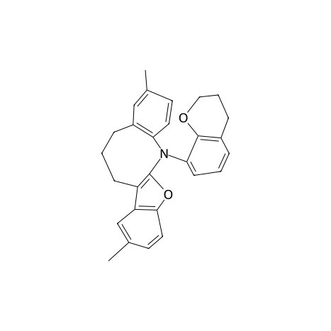 Cc1ccc2c(c1)CCCc1c(oc3ccc(C)cc13)N2c1cccc2c1OCCC2